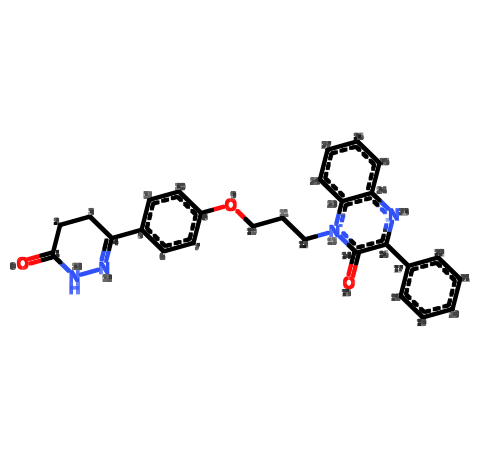 O=C1CCC(c2ccc(OCCCn3c(=O)c(-c4ccccc4)nc4ccccc43)cc2)=NN1